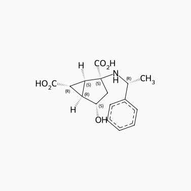 C[C@@H](N[C@@]1(C(=O)O)C[C@H](O)[C@H]2[C@H](C(=O)O)[C@H]21)c1ccccc1